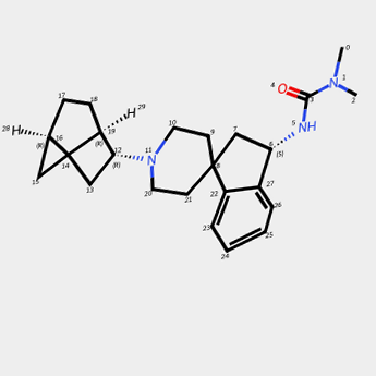 CN(C)C(=O)N[C@H]1CC2(CCN([C@@H]3CC45C[C@H]4CC[C@@H]35)CC2)c2ccccc21